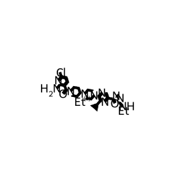 CCNc1nnc(-c2cnc(N3CCN(C4CCN(C(=O)c5ccc(Cl)nc5N)CC4)[C@@H](CC)C3)c(C3CC3)n2)o1